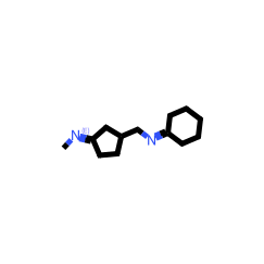 C/N=C1\CCC(CN=C2CCCCC2)C1